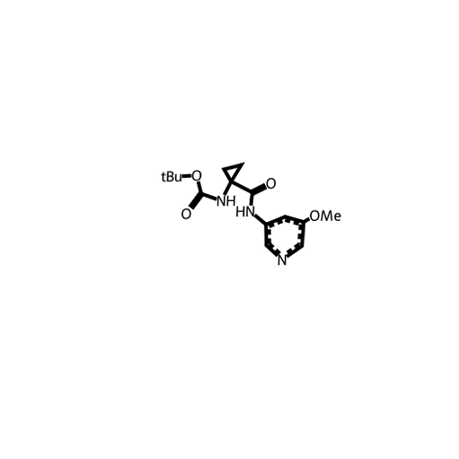 COc1cncc(NC(=O)C2(NC(=O)OC(C)(C)C)CC2)c1